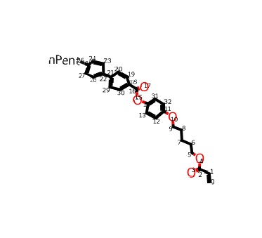 C=CC(=O)OCCCCCOc1ccc(OC(=O)c2ccc(-c3ccc(CCCCC)cc3)cc2)cc1